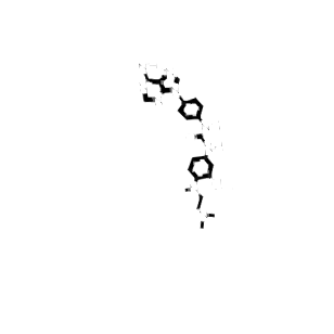 CN(C)CCN(C)c1ccc(NC(=O)Nc2ccc(-n3cnc4c(N)ncnc43)cc2)cc1C(F)(F)F